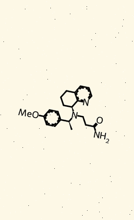 COc1ccc([C@H](C)N(CCC(N)=O)[C@H]2CCCc3cccnc32)cc1